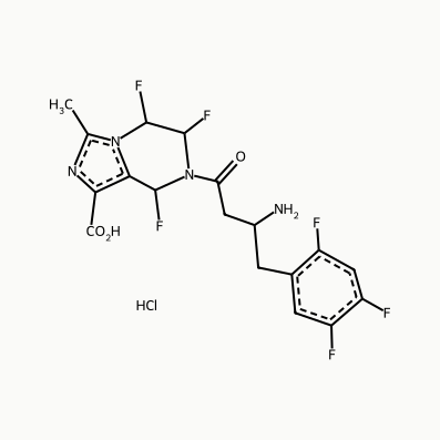 Cc1nc(C(=O)O)c2n1C(F)C(F)N(C(=O)CC(N)Cc1cc(F)c(F)cc1F)C2F.Cl